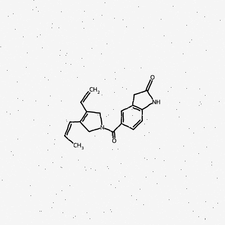 C=CC1=C(/C=C\C)CN(C(=O)c2ccc3c(c2)CC(=O)N3)C1